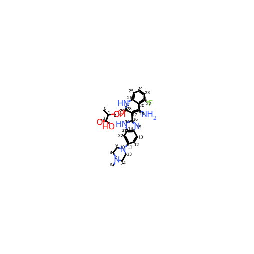 CC(O)C(=O)O.CN1CCN(c2ccc3nc(-c4c(N)c5c(F)cccc5[nH]c4=O)[nH]c3c2)CC1